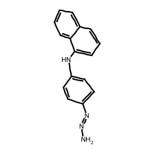 NN=Nc1ccc(Nc2cccc3ccccc23)cc1